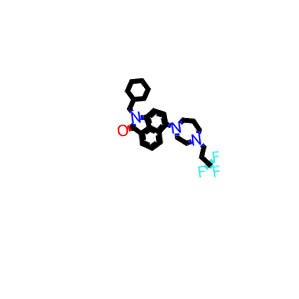 O=C1c2cccc3c(N4CCCN(CCC(F)(F)F)CC4)ccc(c23)N1CC1CCCCC1